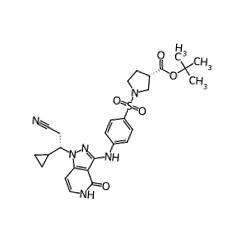 CC(C)(C)OC(=O)[C@H]1CCN(S(=O)(=O)c2ccc(Nc3nn([C@@H](CC#N)C4CC4)c4cc[nH]c(=O)c34)cc2)C1